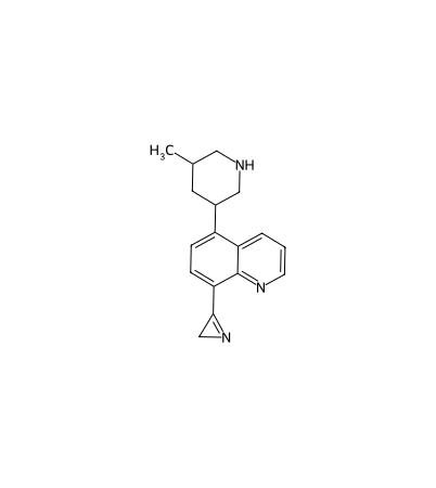 CC1CNCC(c2ccc(C3=NC3)c3ncccc23)C1